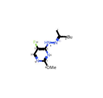 CCC(C)/C(C)=N/Nc1nc(OC)ncc1F